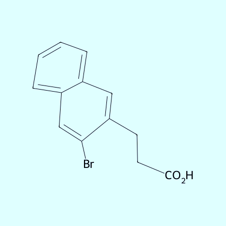 O=C(O)CCc1cc2ccccc2cc1Br